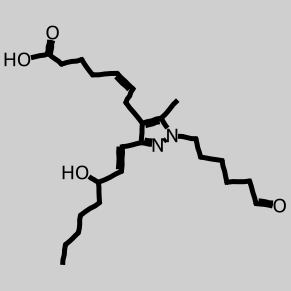 CCCCCC(O)/C=C/c1nn(CCCCCC=O)c(C)c1C/C=C\CCCC(=O)O